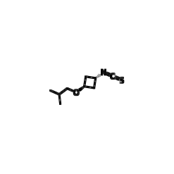 CC(C)CO[C@H]1C[C@H](N=C=S)C1